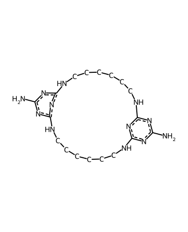 Nc1nc2nc(n1)NCCCCCCNc1nc(N)nc(n1)NCCCCCCN2